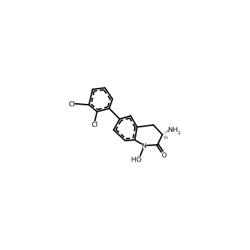 N[C@H]1Cc2cc(-c3cccc(Cl)c3Cl)ccc2N(O)C1=O